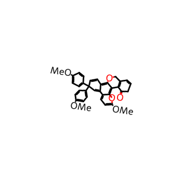 COC1=CC=c2c(c3c(c4c2=CC(c2ccc(OC)cc2)(c2ccc(OC)cc2)C=C4)OCC2=C3C(=O)CC=C2)O1